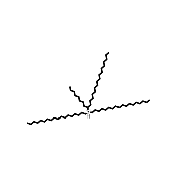 CCCCCCCCCCCCCCCCCC[SiH](CCCCCCCCCCCCCCCCCC)C(CCCCCCCC)CCCCCCCCCCCCCCCCC